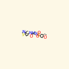 O=C(Nc1ccc2scnc2c1)[C@@H]1CCN(S(=O)(=O)c2ccc3c(c2)CCO3)C1